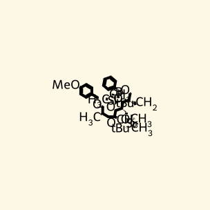 C=C[C@H]1COB(c2ccccc2)O[C@H]1[C@H](CO[Si](C)(C)C(C)(C)C)[C@H](O[Si](C)(C)C(C)(C)C)C1(C)O[C@@H]1[C@@H](C)COCc1ccc(OC)cc1